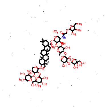 CC1O[C@@H](OC2C(O)[C@@H](NC(=O)CO[C@@H]3OC(CO)C(O)C3O)[C@@H](CO)O[C@H]2OC(=O)[C@]23CCC(C)(C)CC2C2=CCC4C5(C)CC[C@H](O[C@@H]6OC[C@@H](O)[C@H](O[C@@H]7OC[C@@H](O)[C@H](O)C7O)C6O[C@@H]6OC(CO)[C@H](O)[C@H](O)C6O)C(C)(C=O)[C@@H]5CCC4(C)C2(C)C[C@H]3O)C(O)C(O)[C@H]1O[C@@H]1OC[C@@H](O)C(O[C@@H]2OC[C@@](O)(CO)C2O)C1O